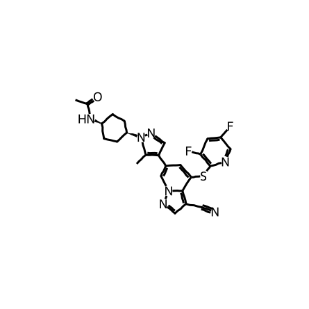 CC(=O)N[C@H]1CC[C@@H](n2ncc(-c3cc(Sc4ncc(F)cc4F)c4c(C#N)cnn4c3)c2C)CC1